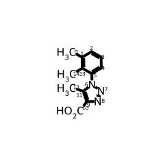 Cc1cccc(-n2nnc(C(=O)O)c2C)c1C